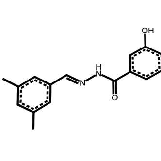 Cc1cc(C)cc(/C=N/NC(=O)c2cccc(O)c2)c1